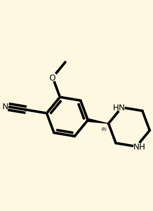 COc1cc([C@@H]2CNCCN2)ccc1C#N